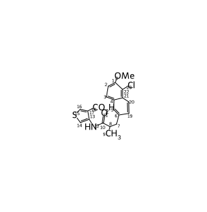 COc1ccc2cc(CC(C)C(=O)Nc3cscc3C(=O)O)ccc2c1Cl